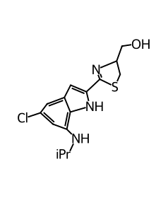 CC(C)Nc1cc(Cl)cc2cc(C3=NC(CO)CS3)[nH]c12